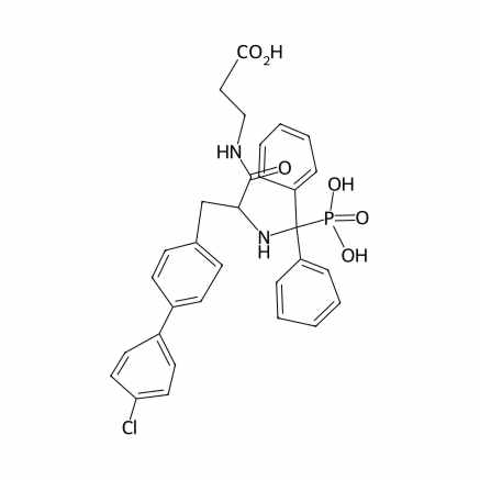 O=C(O)CCNC(=O)C(Cc1ccc(-c2ccc(Cl)cc2)cc1)NC(c1ccccc1)(c1ccccc1)P(=O)(O)O